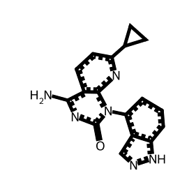 Nc1nc(=O)n(-c2cccc3[nH]ncc23)c2nc(C3CC3)ccc12